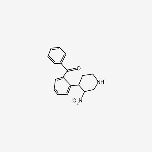 O=C(c1ccccc1)c1ccccc1C1CCNCC1[N+](=O)[O-]